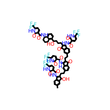 Cc1ccc2c(c1)C(O)C(CCc1ccc3c(c1)C(NC(=O)c1ccc(C(F)(F)F)[nH]c1=O)=C(CCc1ccc4c(c1)C(=O)C(CCCC(O)c1cccc5c1CCCC5NC(=O)c1ccc(C(F)(F)F)[nH]c1=O)=C4NC(=O)c1ccc(C(F)(F)F)[nH]c1=O)C3=O)=C2NC(=O)c1ccc(C(F)(F)F)[nH]c1=O